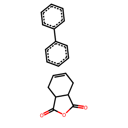 O=C1OC(=O)C2CC=CCC12.c1ccc(-c2ccccc2)cc1